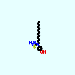 CCCCCCCCCCCCCN(C(N)=S)c1ccc(O)cc1